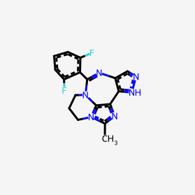 Cc1nc2c3n1CCCN3C(c1c(F)cccc1F)=Nc1cn[nH]c1-2